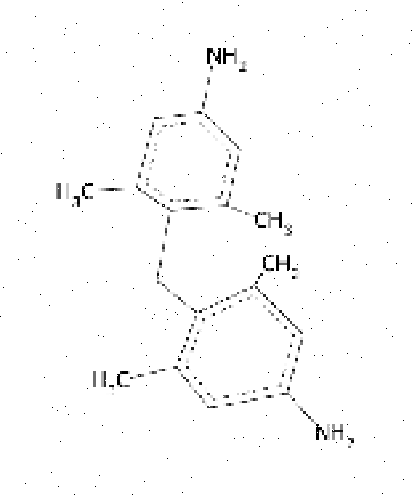 Cc1cc(N)cc(C)c1Cc1c(C)cc(N)cc1C